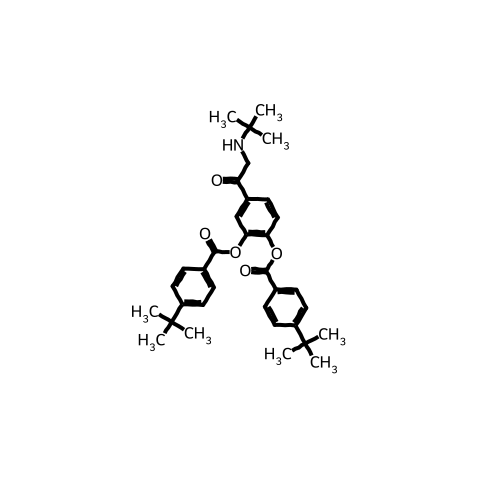 CC(C)(C)NCC(=O)c1ccc(OC(=O)c2ccc(C(C)(C)C)cc2)c(OC(=O)c2ccc(C(C)(C)C)cc2)c1